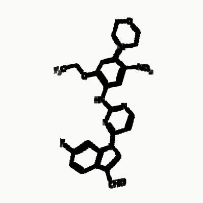 O=Cc1cn(-c2ccnc(Nc3cc([N+](=O)[O-])c(N4CCOCC4)cc3OCC(F)(F)F)n2)c2cc(F)ccc12